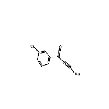 CCCCC#CC(=O)c1cccc(Cl)c1